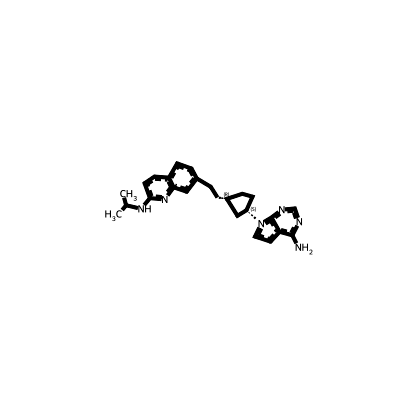 CC(C)Nc1ccc2ccc(CC[C@@H]3CC[C@H](n4ccc5c(N)ncnc54)C3)cc2n1